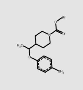 Bc1ccc(OC(C)C2CCN(C(=O)OC(C)C)CC2)cc1